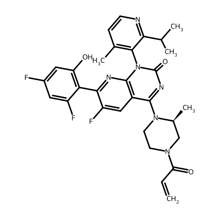 C=CC(=O)N1CCN(c2nc(=O)n(-c3c(C)ccnc3C(C)C)c3nc(-c4c(O)cc(F)cc4F)c(F)cc23)[C@@H](C)C1